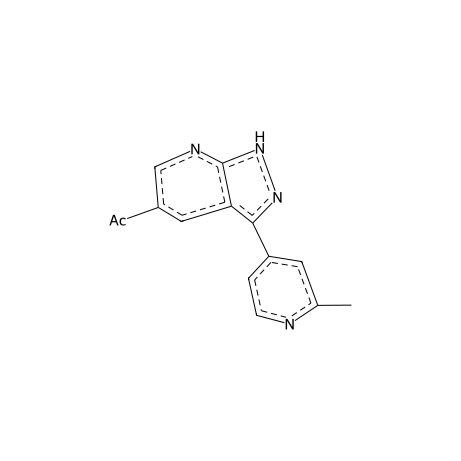 CC(=O)c1cnc2[nH]nc(-c3ccnc(C)c3)c2c1